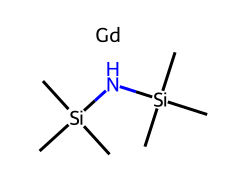 C[Si](C)(C)N[Si](C)(C)C.[Gd]